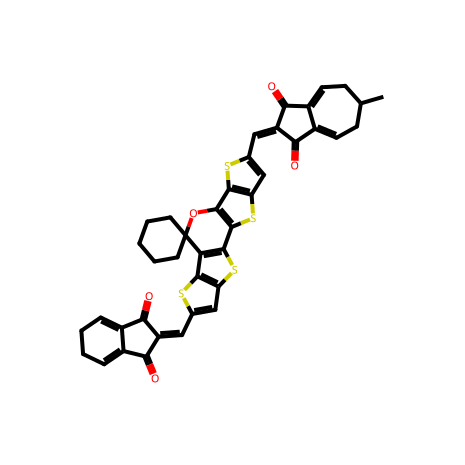 CC1CC=C2C(=O)C(=Cc3cc4sc5c(c4s3)OC3(CCCCC3)c3c-5sc4cc(C=C5C(=O)C6=CCCC=C6C5=O)sc34)C(=O)C2=CC1